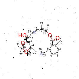 Cc1cccc2c1C(=O)O[C@@H](C)[C@H](C)/C=C\C(O)[C@H]1OC(C)(C)O[C@H]1C/C=C/2